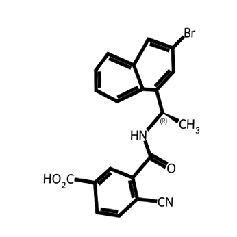 C[C@@H](NC(=O)c1cc(C(=O)O)ccc1C#N)c1cc(Br)cc2ccccc12